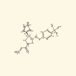 C=CC(=O)N1C[C@@H](OCc2ccc(C(F)(F)F)cc2)[C@H](c2nn[nH]n2)C1